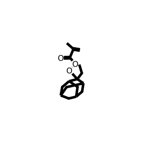 C=C(C)C(=O)OOC1(CC)C2CC3CC(C2)CC1C3